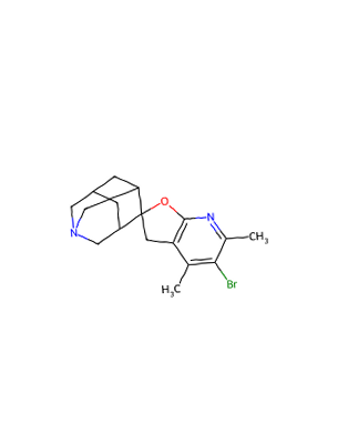 Cc1nc2c(c(C)c1Br)CC1(O2)C2CC3CC1CN(C3)C2